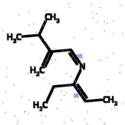 C=C(/C=N\C(=C/C)CC)C(C)C